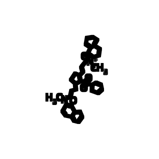 CN1/C(=C/C=C2\CCC(/C=C/c3oc4c5ccccc5ccc4[n+]3C)=C2S(=O)(=O)c2ccccc2)Oc2c1ccc1ccccc21